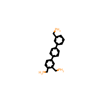 PCc1cccc(-c2ccc(-c3ccc(CP)c(CP)c3)cc2)c1